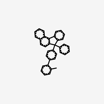 Cc1ccccc1-c1ccc(C2(c3ccccc3)c3ccccc3-c3c2ccc2ccccc32)cc1